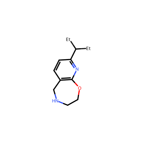 CCC(CC)c1ccc2c(n1)OCCNC2